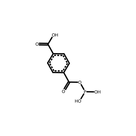 O=C(O)c1ccc(C(=O)OP(O)O)cc1